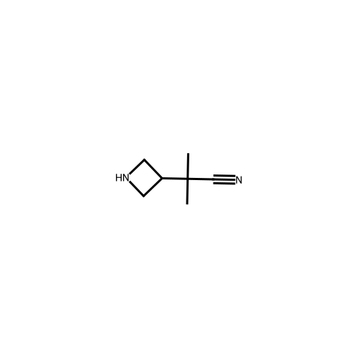 CC(C)(C#N)C1CNC1